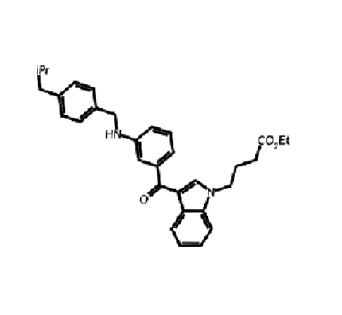 CCOC(=O)CCCn1cc(C(=O)c2cccc(NCc3ccc(CC(C)C)cc3)c2)c2ccccc21